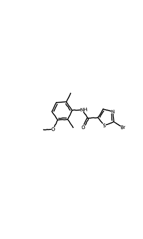 COc1ccc(C)c(NC(=O)c2cnc(Br)s2)c1C